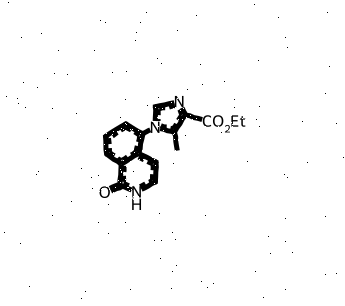 CCOC(=O)c1ncn(-c2cccc3c(=O)[nH]ccc23)c1C